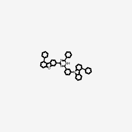 c1ccc(C2=NC(c3ccc4c(c3)oc3cccc(-c5ccccc5)c34)=NC(c3cccc(-n4c5ccccc5c5c(-c6ccccc6)cccc54)c3)N2)cc1